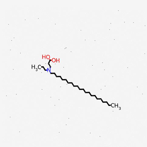 CCCCCCCCCCCCCCCCCCCCCCN(CCC)CCC(O)O